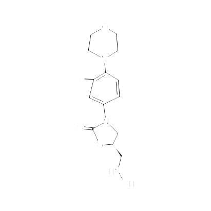 O=C1O[C@H](CNS)CN1c1ccc(N2CCOCC2)c(F)c1